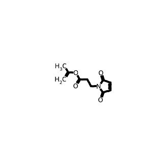 C=C(C)OC(=O)CCN1C(=O)C=CC1=O